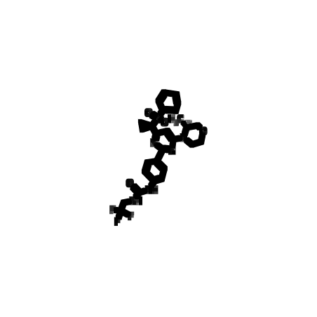 C[C@H]1COCCN1c1cc(C2(S(=O)(=O)c3ccccc3)CC2)nc(-c2ccc(NC(=O)NCC(F)(F)F)cc2)n1